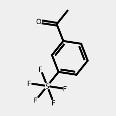 CC(=O)c1cccc(S(F)(F)(F)(F)F)c1